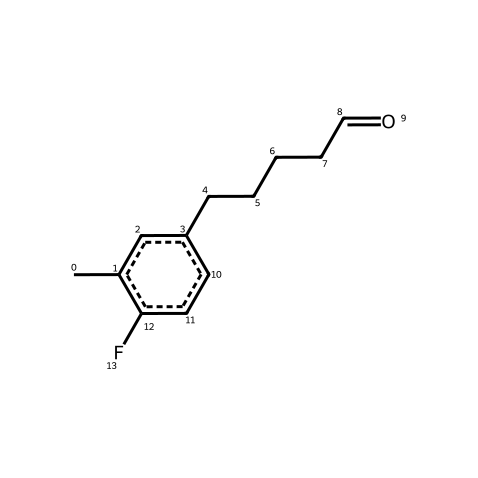 Cc1cc(CCCCC=O)ccc1F